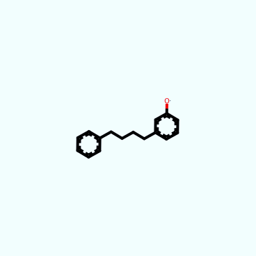 [O]c1cccc(CCCCc2ccccc2)c1